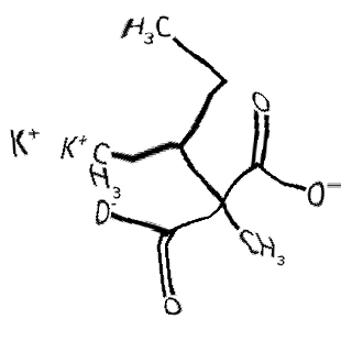 CCC(C)C(C)(C(=O)[O-])C(=O)[O-].[K+].[K+]